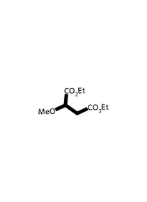 CCOC(=O)CC(OC)C(=O)OCC